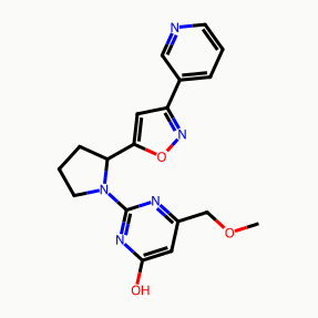 COCc1cc(O)nc(N2CCCC2c2cc(-c3cccnc3)no2)n1